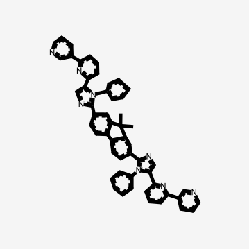 CC1(C)c2cc(-c3ncc(-c4cccc(-c5cccnc5)n4)n3-c3ccccc3)ccc2-c2ccc(-c3ncc(-c4cccc(-c5cccnc5)n4)n3-c3ccccc3)cc21